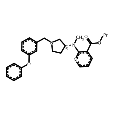 CC(C)OC(=O)c1cccnc1N(C)[C@@H]1CCN(Cc2cccc(Oc3ccccc3)c2)C1